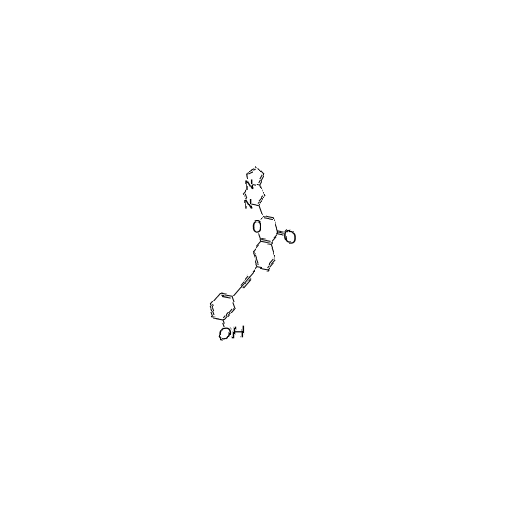 O=c1cc(-c2cc3cccn3cn2)oc2cc(C#Cc3cccc(O)c3)ccc12